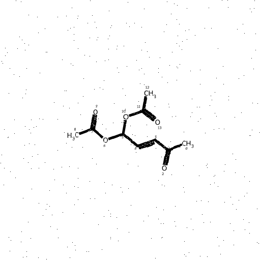 CC(=O)C=CC(OC(C)=O)OC(C)=O